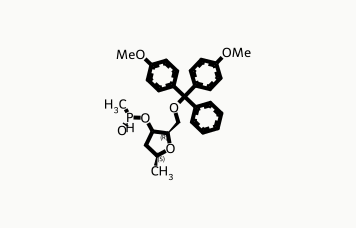 COc1ccc(C(OC[C@H]2O[C@@H](C)CC2O[PH](C)=O)(c2ccccc2)c2ccc(OC)cc2)cc1